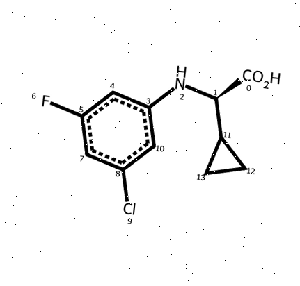 O=C(O)[C@H](Nc1cc(F)cc(Cl)c1)C1CC1